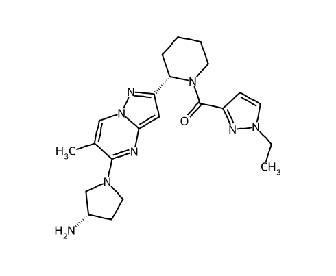 CCn1ccc(C(=O)N2CCCC[C@H]2c2cc3nc(N4CC[C@H](N)C4)c(C)cn3n2)n1